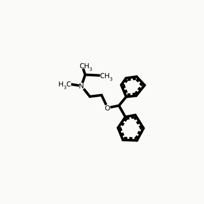 CC(C)N(C)CCOC(c1ccccc1)c1ccccc1